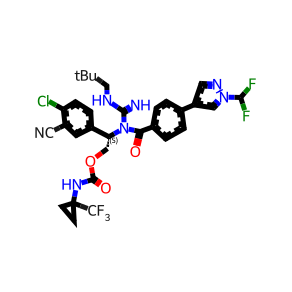 CC(C)(C)CNC(=N)N(C(=O)c1ccc(-c2cnn(C(F)F)c2)cc1)[C@H](COC(=O)NC1(C(F)(F)F)CC1)c1ccc(Cl)c(C#N)c1